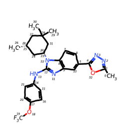 Cc1nnc(-c2ccc3c(c2)nc(Nc2ccc(OC(F)(F)F)cc2)n3[C@@H]2C[C@H](C)CC(C)(C)C2)o1